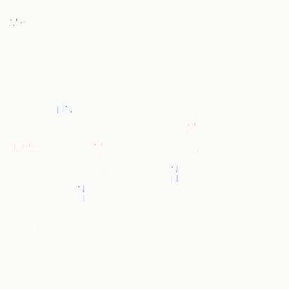 COc1cccc(CNCC(O)C(Cc2ccccc2)NC(=O)CCNC(=O)c2ccccc2)c1